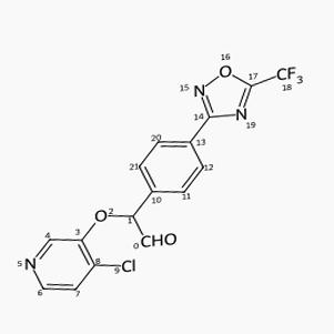 O=CC(Oc1cnccc1Cl)c1ccc(-c2noc(C(F)(F)F)n2)cc1